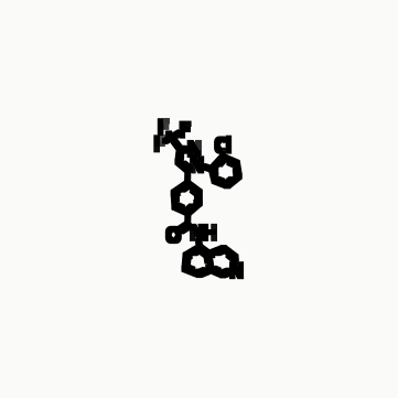 O=C(Nc1cccc2cnccc12)c1ccc(-c2cc(C(F)(F)F)nn2-c2ccccc2Cl)cc1